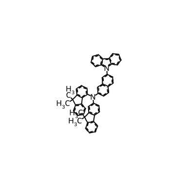 CC1(C)c2ccccc2-c2ccc(N(c3ccc4ccc(-n5c6ccccc6c6ccccc65)cc4c3)c3cccc4c3-c3ccccc3C4(C)C)cc21